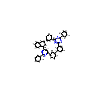 c1ccc(-c2nc(-c3cccc(-c4cccc(-c5nc(-c6ccccc6)nc(-c6ccccc6)n5)c4)c3)cc(-c3cccc4ccccc34)n2)cc1